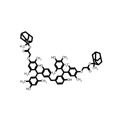 Cc1cc(C(c2cc(C)c(OCC(=O)OC3(C)C4CC5CC(C4)CC3C5)cc2C)c2cc(Cc3ccc(O)c(C(c4cc(C)c(O)cc4C)c4cc(C)c(OCC(=O)OC5(C)C6CC7CC(C6)CC5C7)cc4C)c3)ccc2O)c(C)cc1O